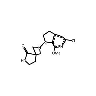 COc1nc(Cl)cc2c1[C@@H](N1CC3(CCNC3=O)C1)CC2